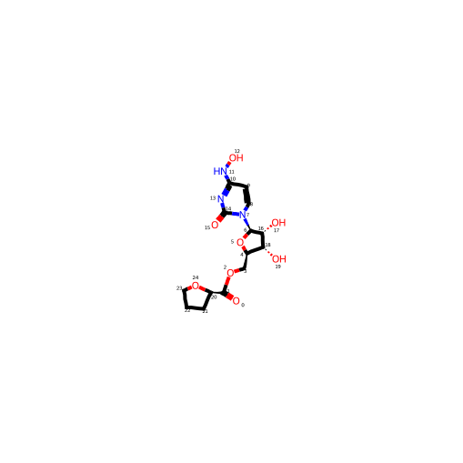 O=C(OC[C@H]1O[C@@H](n2ccc(NO)nc2=O)[C@H](O)[C@@H]1O)[C@H]1CCCO1